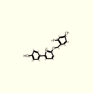 Oc1ccc(-c2cccc(OCc3ccc(Cl)cc3F)n2)cc1